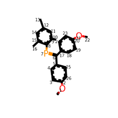 COc1ccc(C(=Pc2c(C)cc(C)cc2C)c2ccc(OC)cc2)cc1